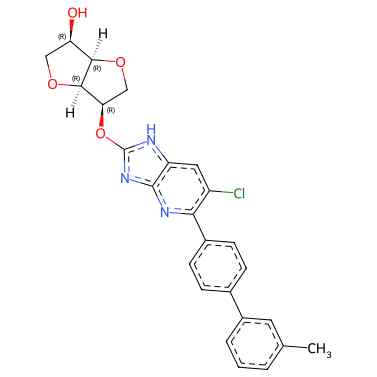 Cc1cccc(-c2ccc(-c3nc4nc(O[C@@H]5CO[C@H]6[C@@H]5OC[C@H]6O)[nH]c4cc3Cl)cc2)c1